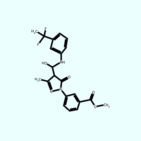 COC(=O)c1cccc(N2N=C(C)C(C(O)Nc3cccc(C(C)(F)F)c3)C2=O)c1